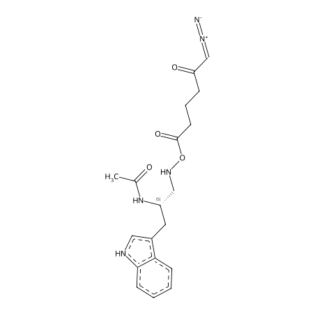 CC(=O)N[C@H](CNOC(=O)CCCC(=O)C=[N+]=[N-])Cc1c[nH]c2ccccc12